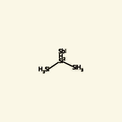 [Sb].[SiH3][SiH2][SiH3]